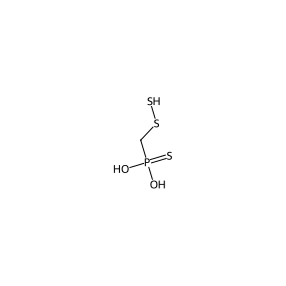 OP(O)(=S)CSS